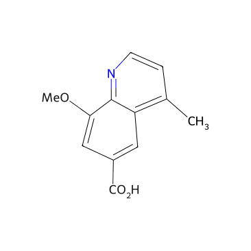 COc1cc(C(=O)O)cc2c(C)ccnc12